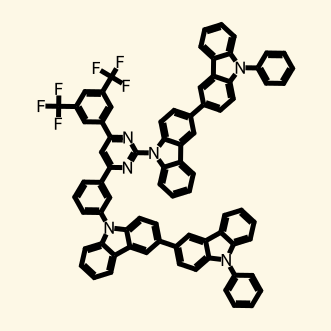 FC(F)(F)c1cc(-c2cc(-c3cccc(-n4c5ccccc5c5cc(-c6ccc7c(c6)c6ccccc6n7-c6ccccc6)ccc54)c3)nc(-n3c4ccccc4c4cc(-c5ccc6c(c5)c5ccccc5n6-c5ccccc5)ccc43)n2)cc(C(F)(F)F)c1